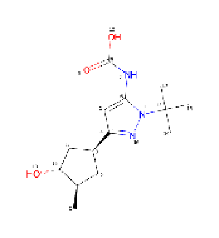 C[C@@H]1C[C@H](c2cc(NC(=O)O)n(C(C)(C)C)n2)C[C@H]1O